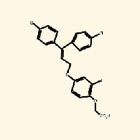 O=C(O)COc1ccc(SCC=C(c2ccc(Cl)cc2)c2ccc(Cl)cc2)cc1I